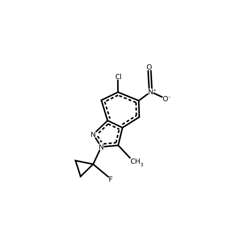 Cc1c2cc([N+](=O)[O-])c(Cl)cc2nn1C1(F)CC1